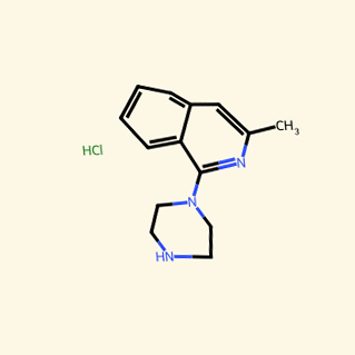 Cc1cc2ccccc2c(N2CCNCC2)n1.Cl